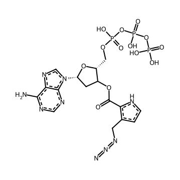 [N-]=[N+]=NCc1cc[nH]c1C(=O)OC1C[C@H](n2cnc3c(N)ncnc32)O[C@@H]1COP(=O)(O)OP(=O)(O)OP(=O)(O)O